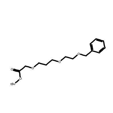 CC(C)(C)OC(=O)COCCCOCCOCc1ccccc1